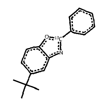 CC(C)(C)c1ccc2o[13c](-c3ccccc3)nc2c1